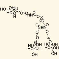 CC(COCCC(=O)NCCOCCOCCO[C@@H](O)C(O)C(O)[C@H](O)CCO)(COCCC(=O)NCCOCCOCCO[C@@H](O)C(O)C(O)[C@H](O)CCO)COCCC(=O)NCCOCCOCCO[C@@H](O)C(O)C(O)[C@H](O)CCO